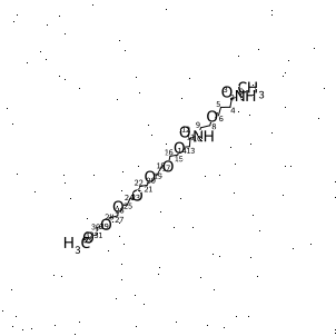 CNC(=O)CCCOCCNC(=O)COCCOCCOCCOCCOCCOCCOC